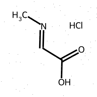 CN=CC(=O)O.Cl